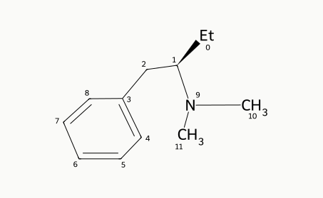 CC[C@H](Cc1ccccc1)N(C)C